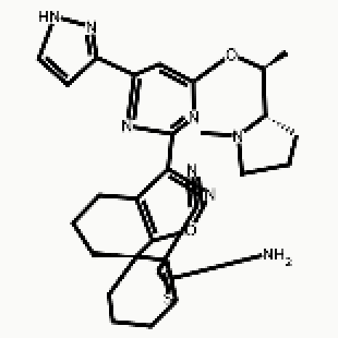 C[C@H](Oc1cc(-c2cc[nH]n2)nc(-c2noc3c2CCC[C@@]32CCCc3sc(N)c(C#N)c32)n1)[C@@H]1CCCN1C